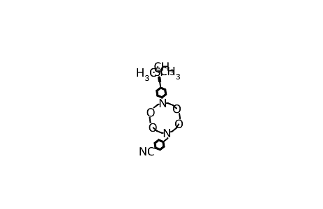 C[Si](C)(C)C#Cc1ccc(N2CCOCCOCCN(Cc3ccc(C#N)cc3)CCOCCOCC2)cc1